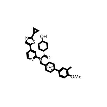 COc1ccc(C23CCC(CN(c4cc(-c5cnc(C6CC6)s5)ccn4)C(=O)[C@H]4CC[C@H](O)CC4)(CC2)CC3)cc1C